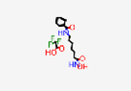 O=C(CCCCCCNC(=O)c1ccccc1)NO.O=C(O)C(F)(F)F